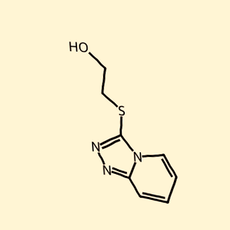 OCCSc1nnc2ccccn12